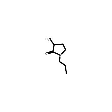 CCCN1CCC(N)C1=O